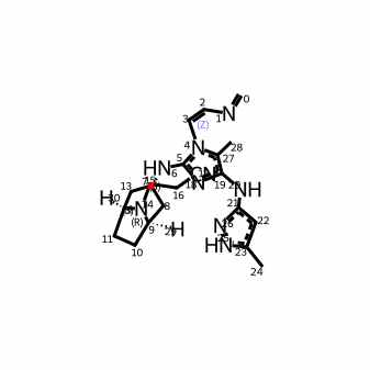 C=N/C=C\n1c(N[C@@H]2C[C@H]3CC[C@@H](C2)N3CCC#N)nc(Nc2cc(C)[nH]n2)c1C